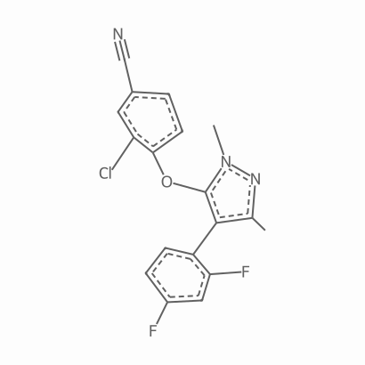 Cc1nn(C)c(Oc2ccc(C#N)cc2Cl)c1-c1ccc(F)cc1F